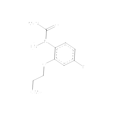 CNC(=O)N(N)c1ccc(F)cc1OCCOC